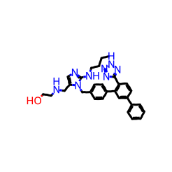 CCCCNc1ncc(CNCCO)n1Cc1ccc(-c2cc(-c3ccccc3)ccc2-c2nn[nH]n2)cc1